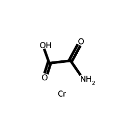 NC(=O)C(=O)O.[Cr]